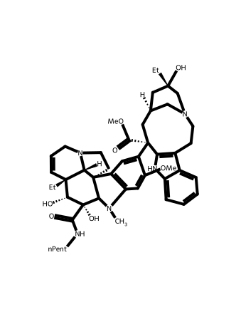 CCCCCNC(=O)[C@]1(O)C2N(C)c3cc(OC)c([C@@]4(C(=O)OC)C[C@@H]5CN(CCc6c4[nH]c4ccccc64)C[C@](O)(CC)C5)cc3[C@@]23CCN2CC=C[C@@](CC)([C@H]1O)[C@H]23